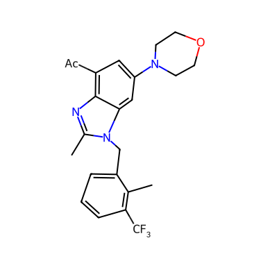 CC(=O)c1cc(N2CCOCC2)cc2c1nc(C)n2Cc1cccc(C(F)(F)F)c1C